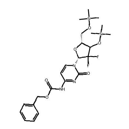 C[Si](C)(C)OC[C@H]1O[C@@H](n2ccc(NC(=O)OCc3ccccc3)nc2=O)C(F)(F)C1O[Si](C)(C)C